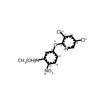 CN(O)c1cc(Oc2ncc(Cl)cc2Cl)ccc1[N+](=O)[O-]